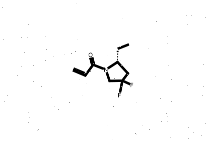 C=CC(=O)N1CC(F)(F)C[C@H]1CC